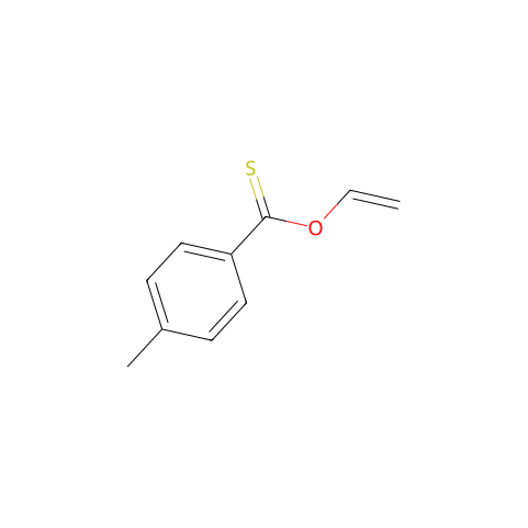 C=COC(=S)c1ccc(C)cc1